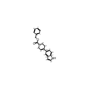 O=C(OCc1ccccc1)N1CC=C(c2ccc3[nH]ccc3c2)CC1